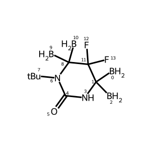 BC1(B)NC(=O)N(C(C)(C)C)C(B)(B)C1(F)F